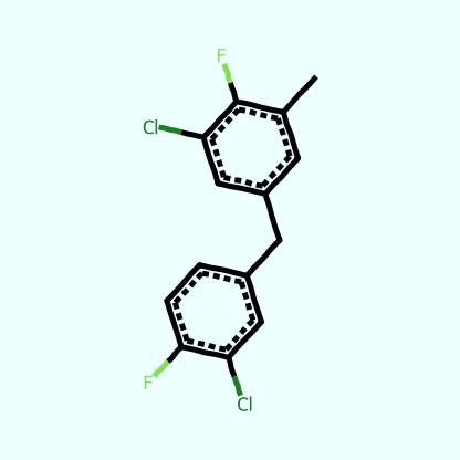 Cc1cc(Cc2ccc(F)c(Cl)c2)cc(Cl)c1F